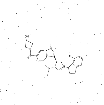 CN(C)[C@H]1CN(C2CCc3cccc(F)c32)C[C@@H]1c1cn(C)c2cc(C(=O)N3CC(O)C3)ccc12